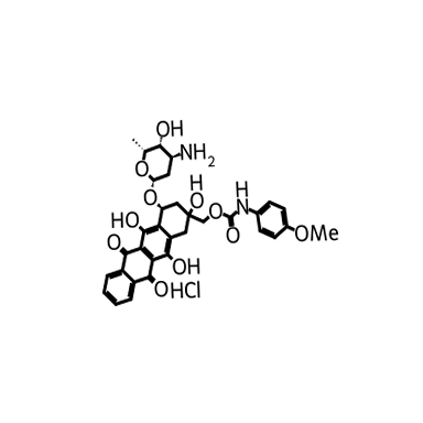 COc1ccc(NC(=O)OCC2(O)Cc3c(O)c4c(c(O)c3[C@@H](O[C@H]3C[C@H](N)[C@@H](O)[C@@H](C)O3)C2)C(=O)c2ccccc2C4=O)cc1.Cl